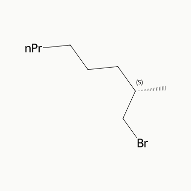 CCCCCC[C@H](C)CBr